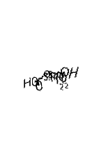 O=C(O)CCC[SiH2]O[SiH2]CCCC(=O)O